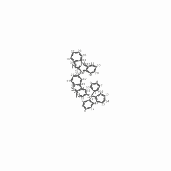 c1ccc([Si](c2ccccc2)(c2ccccc2)c2cnc3sc4ccc(-n5c6ccccc6n6c7ccccc7nc56)cc4c3c2)cc1